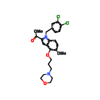 COC(=O)c1cc2c(OCCCN3CCOCC3)c(OC)ccc2n1Cc1ccc(Cl)c(Cl)c1